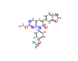 CCOc1ncc2cc(-c3ccc4ncoc4c3)c(=O)n(-c3ccc(OC(F)F)cc3)c2n1